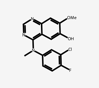 COc1cc2ncnc(N(C)c3ccc(F)c(Cl)c3)c2cc1O